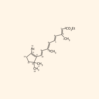 CCOC(=O)/C=C(C)/C=C/C=C(C)/C=C/C1=C(C(C)=O)CCC1(C)C